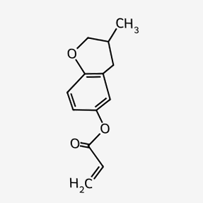 C=CC(=O)Oc1ccc2c(c1)CC(C)CO2